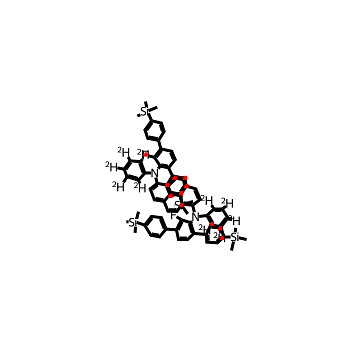 [2H]c1c([2H])c([2H])c(N(c2c(-c3ccc([Si](C)(C)C)cc3)ccc(-c3ccc([Si](C)(C)C)cc3)c2F)c2ccc3ccc4c(N(c5c([2H])c([2H])c([2H])c([2H])c5[2H])c5c(-c6ccc([Si](C)(C)C)cc6)ccc(-c6ccc([Si](C)(C)C)cc6)c5F)ccc5ccc2c3c54)c([2H])c1[2H]